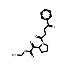 CCOC(=O)C(=O)C1CCCN1C(=O)CCC(=O)c1ccccc1